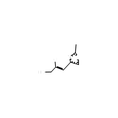 Cc1nc(/C=C(\Cl)CO)cs1